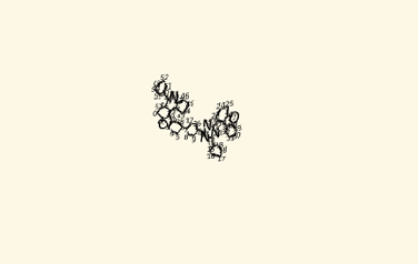 C1=c2oc3ccc(-c4ccc(-c5nc(-c6ccccc6)nc(-c6cccc7oc8ccccc8c67)n5)cc4)cc3c2=C2c3ccccc3N=C(c3ccccc3)C2C1